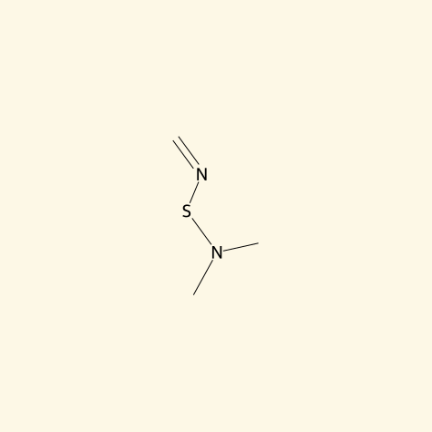 C=NSN(C)C